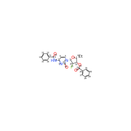 CC[C@H]1O[C@@H](n2ccc(NC(=O)c3ccccc3)nc2=O)[C@H](F)[C@@H]1OC(=O)c1ccccc1